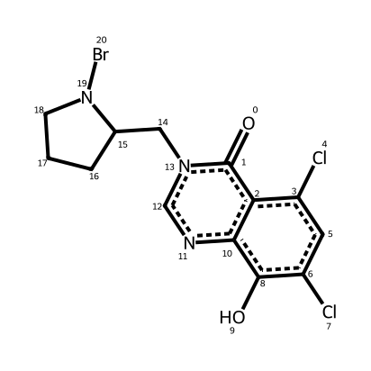 O=c1c2c(Cl)cc(Cl)c(O)c2ncn1CC1CCCN1Br